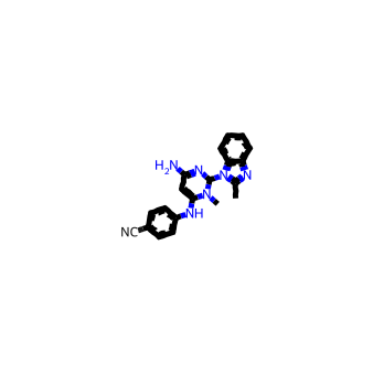 Cc1nc2ccccc2n1C1N=C(N)C=C(Nc2ccc(C#N)cc2)N1C